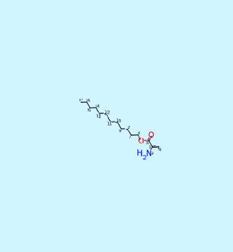 C=C(N)C(=O)OCCCCCCCCCCCC